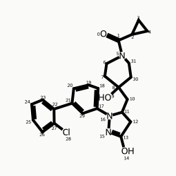 O=C(C1CC1)N1CCC(O)(CC2CC(O)=NN2c2cccc(-c3ccccc3Cl)c2)CC1